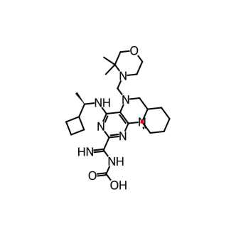 C=Nc1nc(C(=N)NC(=O)O)nc(N[C@H](C)C2CCC2)c1N(CC1CCCCC1)CN1CCOCC1(C)C